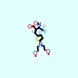 COCCN(CCOC)c1ccc(/C=C2/C(=O)ON=C2C(F)(F)F)s1